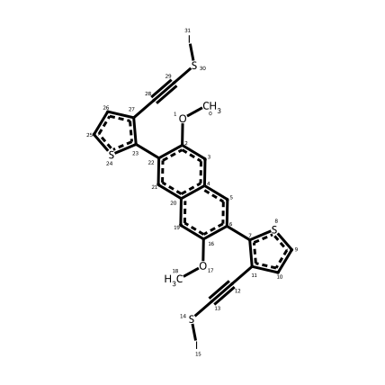 COc1cc2cc(-c3sccc3C#CSI)c(OC)cc2cc1-c1sccc1C#CSI